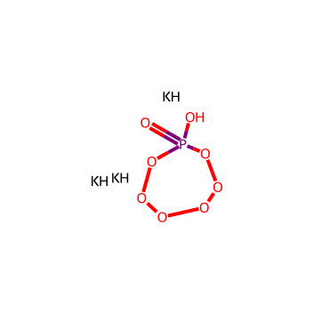 O=P1(O)OOOOOO1.[KH].[KH].[KH]